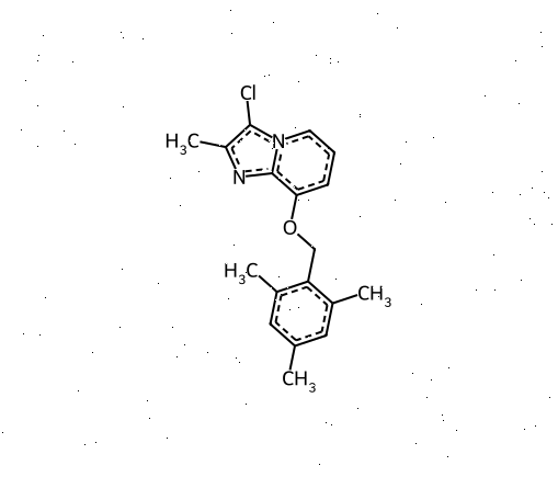 Cc1cc(C)c(COc2cccn3c(Cl)c(C)nc23)c(C)c1